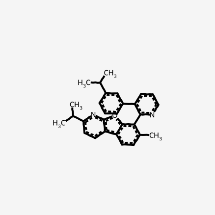 Cc1ccc2c(oc3nc(C(C)C)ccc32)c1-c1ncccc1-c1cccc(C(C)C)c1